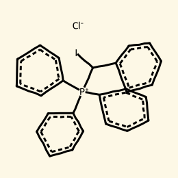 IC(c1ccccc1)[P+](c1ccccc1)(c1ccccc1)c1ccccc1.[Cl-]